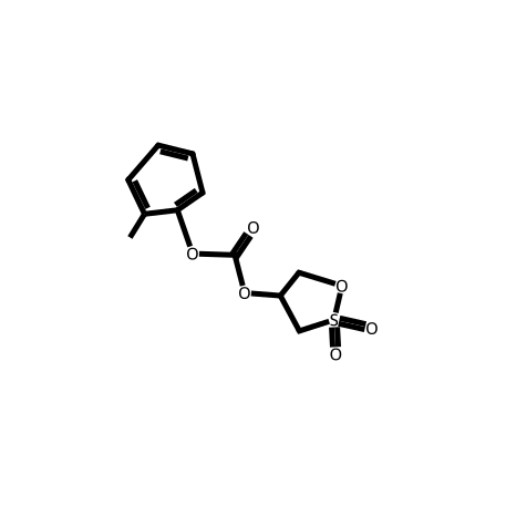 Cc1ccccc1OC(=O)OC1COS(=O)(=O)C1